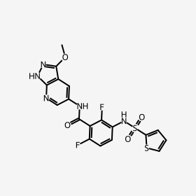 COc1n[nH]c2ncc(NC(=O)c3c(F)ccc(NS(=O)(=O)c4cccs4)c3F)cc12